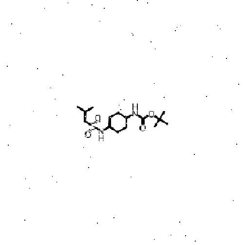 CC(C)CS(=O)(=O)NC1CCC(NC(=O)OC(C)(C)C)CC1